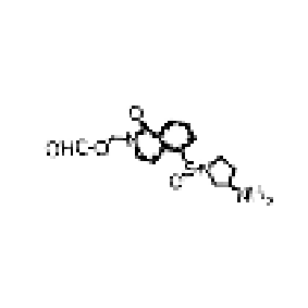 NC1CCN([S+]([O-])c2cccc3c(=O)n(COC=O)ccc23)C1